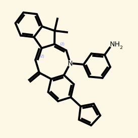 C=C1/C=C2\C(=C/N(c3cccc(N)c3)c3cc(C4=C=CC=C4)ccc31)C(C)(C)c1ccccc12